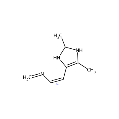 C=N/C=C\C1=C(C)NC(C)N1